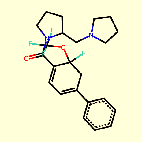 O=C(C1=CC=C(c2ccccc2)CC1(F)OC(F)(F)F)N1CCCC1CN1CCCC1